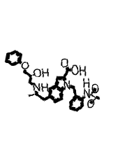 C[C@H](Cc1ccc2c(c1)cc(C(=O)O)n2Cc1ccccc1NS(C)(=O)=O)NC[C@@H](O)COc1ccccc1